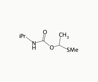 CSC(C)OC(=O)NC(C)C